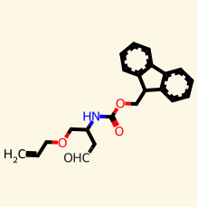 C=CCOCC(CC=O)NC(=O)OCC1c2ccccc2-c2ccccc21